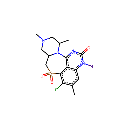 Cc1cc2c3c(nc(=O)n2I)N2C(C)CN(C)CC2CS(=O)(=O)c3c1F